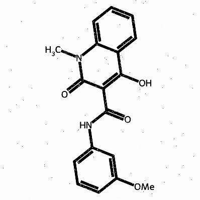 COc1cccc(NC(=O)c2c(O)c3ccccc3n(C)c2=O)c1